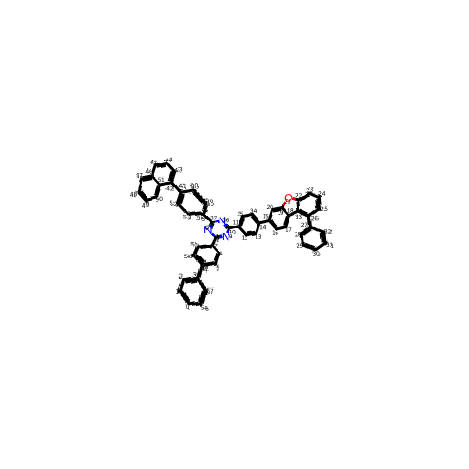 c1ccc(-c2ccc(-c3nc(-c4ccc(-c5ccc6c(c5)oc5cccc(-c7ccccc7)c56)cc4)nc(-c4ccc(-c5cccc6ccccc56)cc4)n3)cc2)cc1